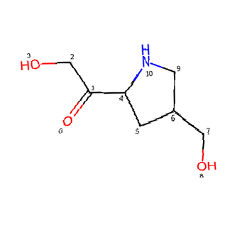 O=C(CO)C1CC(CO)CN1